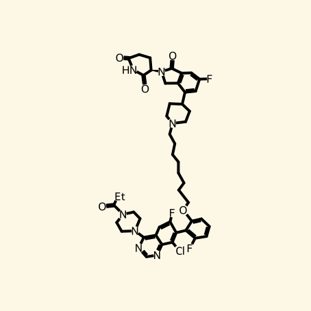 CCC(=O)N1CCN(c2ncnc3c(Cl)c(-c4c(F)cccc4OCCCCCCCCN4CCC(c5cc(F)cc6c5CN([C@@H]5CCC(=O)NC5=O)C6=O)CC4)c(F)cc23)CC1